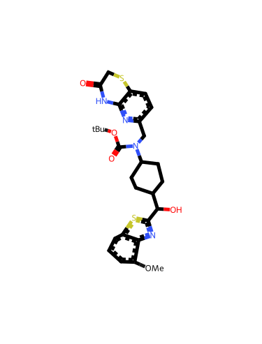 COc1cccc2sc(C(O)C3CCC(N(Cc4ccc5c(n4)NC(=O)CS5)C(=O)OC(C)(C)C)CC3)nc12